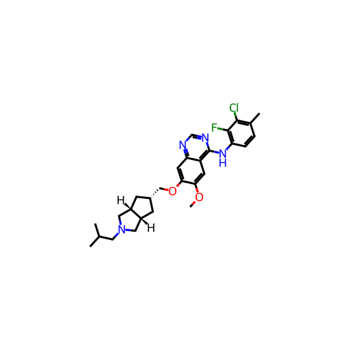 COc1cc2c(Nc3ccc(C)c(Cl)c3F)ncnc2cc1OC[C@@H]1C[C@@H]2CN(CC(C)C)C[C@@H]2C1